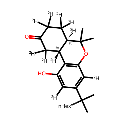 [2H]c1c(O)c2c(c([2H])c1C(C)(C)CCCCCC)OC(C)(C)[C@]1([2H])C([2H])([2H])C([2H])([2H])C(=O)C([2H])([2H])[C@@]21[2H]